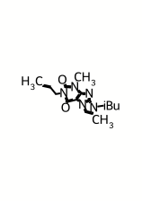 C/C=C/Cn1c(=O)c2c(nc3n(C(C)CC)c(C)cn23)n(C)c1=O